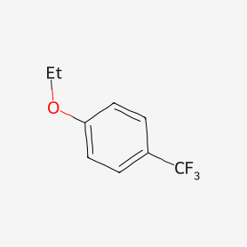 CCOc1ccc(C(F)(F)F)cc1